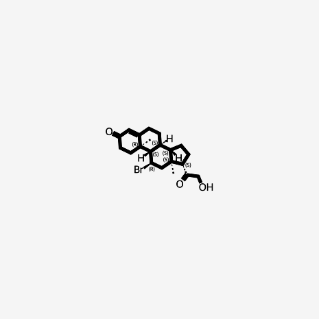 C[C@]12C[C@@H](Br)[C@H]3[C@@H](CCC4=CC(=O)CC[C@@]43C)[C@@H]1CC[C@@H]2C(=O)CO